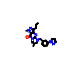 CCCc1nn(C)c2c(=O)[nH]c(N(Cc3cccc(-n4cccn4)c3)CC(C)C)nc12